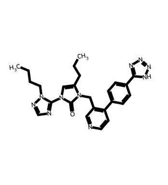 CCCCn1ncnc1-n1cc(CCC)n(Cc2cnccc2-c2ccc(-c3nnn[nH]3)cc2)c1=O